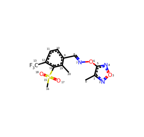 Cc1nonc1O/N=C/c1ccc(C(F)(F)F)c(S(C)(=O)=O)c1C